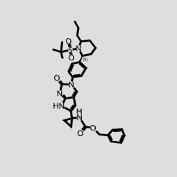 CCCC1CCC[C@@H](c2ccc(-n3cc4cc(C5(NC(=O)OCc6ccccc6)CC5)[nH]c4nc3=O)cc2)N1S(=O)(=O)C(C)(C)C